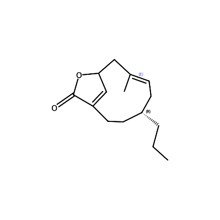 CCC[C@H]1C/C=C(\C)CC2C=C(CC1)C(=O)O2